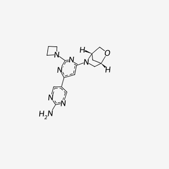 Nc1ncc(-c2cc(N3C[C@@H]4C[C@H]3CO4)nc(N3CCC3)n2)cn1